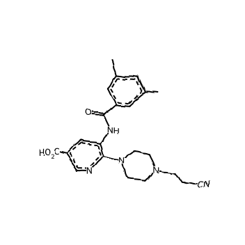 Cc1cc(C)cc(C(=O)Nc2cc(C(=O)O)cnc2N2CCN(CCC#N)CC2)c1